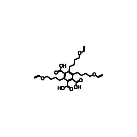 C=COCCCCc1c(CCCCOC=C)c(C(=O)O)c(C(=O)O)c(CCCCOC=C)c1C(=O)O